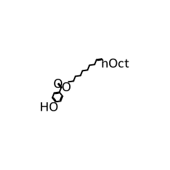 CCCCCCCC/C=C\CCCCCCCCOC(=O)c1ccc(O)cc1